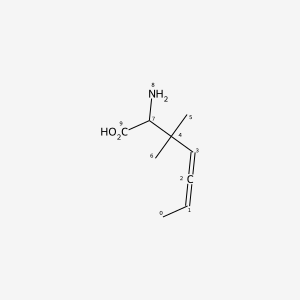 CC=C=CC(C)(C)C(N)C(=O)O